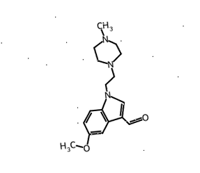 COc1ccc2c(c1)c(C=O)cn2CCN1CCN(C)CC1